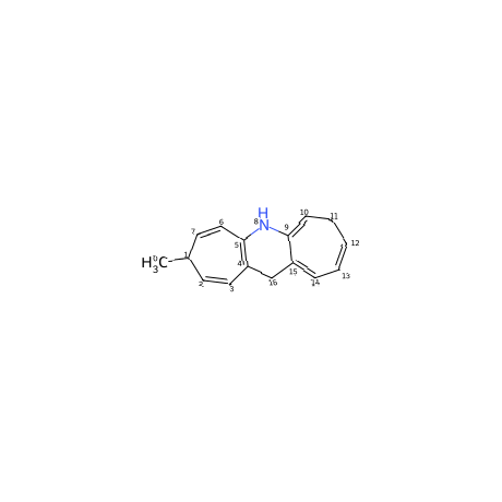 CC1C=CC2=C(C=C1)NC1=CCC=CC=C1C2